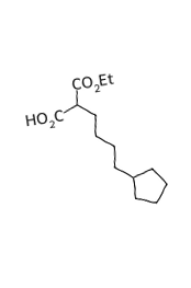 CCOC(=O)C(CCCCC1CCCC1)C(=O)O